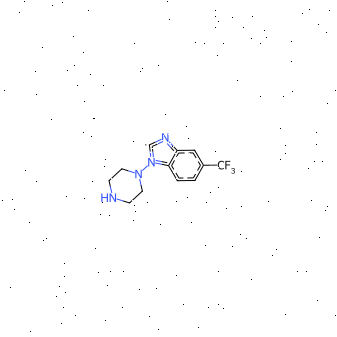 FC(F)(F)c1ccc2c(c1)n[c]n2N1CCNCC1